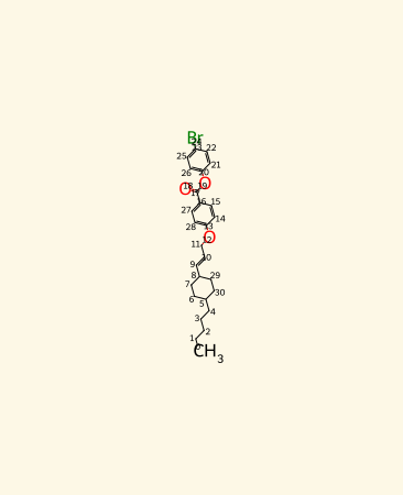 CCCCCC1CCC(/C=C/COc2ccc(C(=O)Oc3ccc(Br)cc3)cc2)CC1